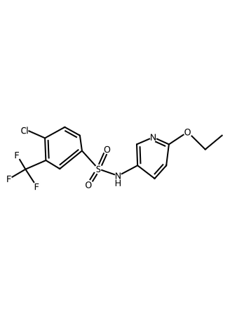 CCOc1ccc(NS(=O)(=O)c2ccc(Cl)c(C(F)(F)F)c2)cn1